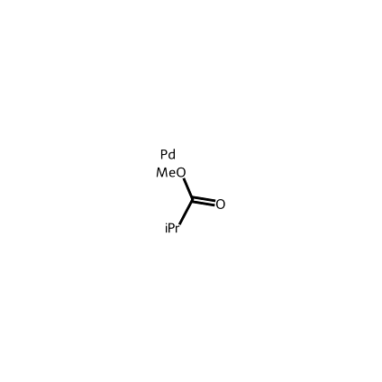 COC(=O)C(C)C.[Pd]